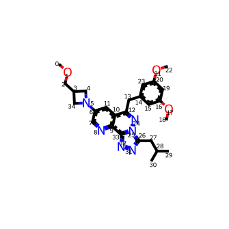 COCC1CN(c2cnc3c(c2)c(Cc2cc(OC)cc(OC)c2)nn2c(CC(C)C)nnc32)C1